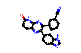 N#Cc1cccc(-c2nc3[nH]c(=O)ccc3nc2-c2ccc3nc[nH]c3c2)c1